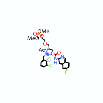 COP(=O)(OC)OCCOC[C@@H](COC(=O)Nc1cc2cc(F)ccc2cn1)N(NCc1cccc(F)c1Cl)C(C)=O